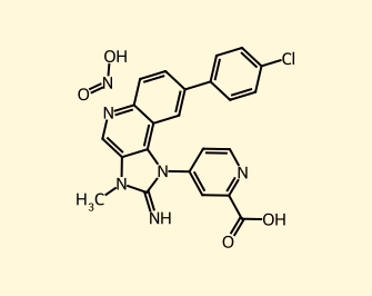 Cn1c(=N)n(-c2ccnc(C(=O)O)c2)c2c3cc(-c4ccc(Cl)cc4)ccc3ncc21.O=NO